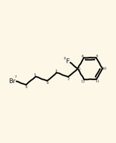 FC1(CCCCCBr)C=CC=CC1